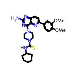 COc1ccc(-c2ccc3nc(N)nc(N4CCN(C(=S)NC5CCCCC5)CC4)c3n2)cc1OC